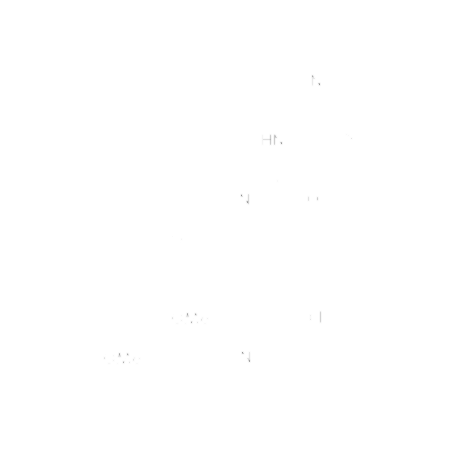 COc1cccc(Oc2cc(N(C)C)c(Cl)cc2NC(=O)Nc2nccs2)c1OC